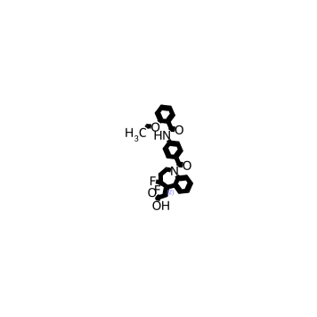 CCOc1ccccc1C(=O)Nc1ccc(C(=O)N2CCC(F)(F)/C(=C\C(=O)O)c3ccccc32)cc1